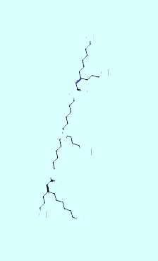 CCCCCCCC(=CC(=O)OCCCCCCN(CCCO)CCCCCCOC(=O)/C=C(\CCCC)CCCCCCC)CCCC